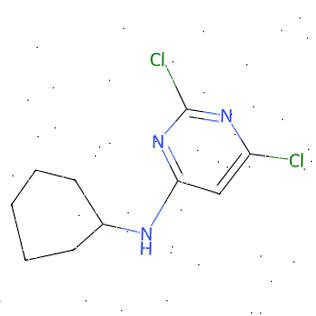 Clc1cc(NC2CCCCC2)nc(Cl)n1